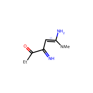 CCC(=O)C(=N)/C=C(/N)NC